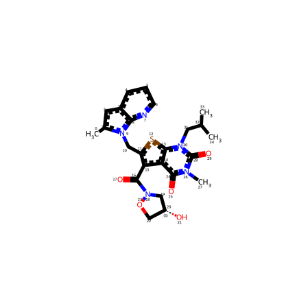 Cc1cc2cccnc2n1Cc1sc2c(c1C(=O)N1C[C@H](O)CO1)c(=O)n(C)c(=O)n2CC(C)C